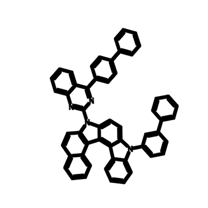 c1ccc(-c2ccc(-c3nc(-n4c5ccc6ccccc6c5c5c6c7ccccc7n(-c7cccc(-c8ccccc8)c7)c6ccc54)nc4ccccc34)cc2)cc1